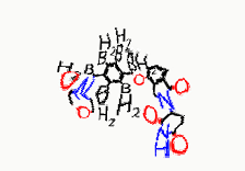 Bc1c(B)c(C(B)N2CCOCC2=O)c(B)c(B)c1C(B)Oc1cccc2c1CN(C1CCC(=O)NC1=O)C2=O